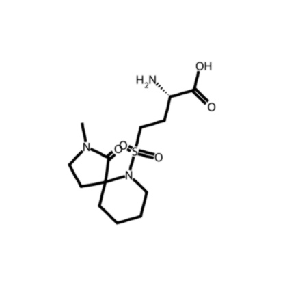 CN1CCC2(CCCCN2S(=O)(=O)CC[C@H](N)C(=O)O)C1=O